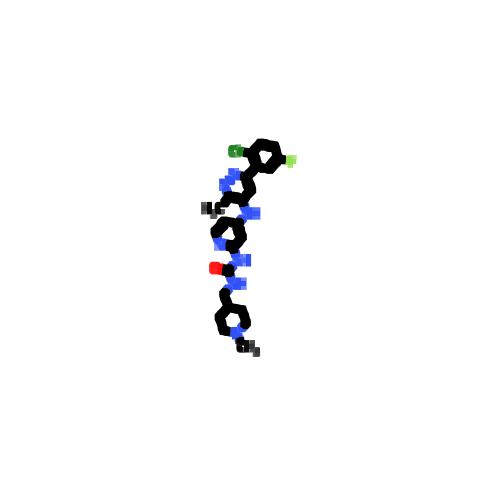 Cc1nnc(-c2cc(F)ccc2Cl)cc1Nc1ccnc(NC(=O)NCC2CCN(C)CC2)c1